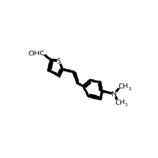 CN(C)c1ccc(/C=C/c2ccc(C=O)s2)cc1